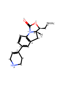 CC(=O)NC[C@@H]1OC(=O)N2c3ccc(C4=CCNCC4)cc3C[C@@H]12